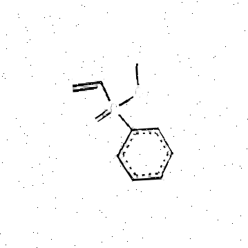 C=CP(=O)(OC)c1ccccc1